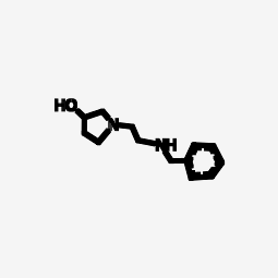 OC1CCN(CCNCc2ccccc2)C1